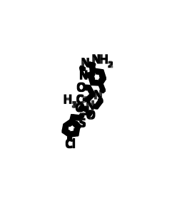 C[C@H]1C(C=O)N(Cc2ccc3c(N)ncnc3c2)CCN1S(=O)(=O)c1cc2ccc(Cl)cc2s1